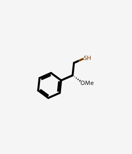 CO[C@@H](CS)c1ccccc1